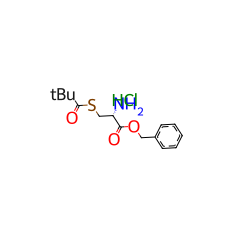 CC(C)(C)C(=O)SC[C@H](N)C(=O)OCc1ccccc1.Cl